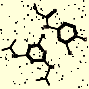 CC(C)Nc1nc(Cl)nc(NC(C)C)n1.CCC(=O)Nc1ccc(Cl)c(Cl)c1